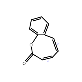 O=C1/C=C\C=C/c2ccccc2O1